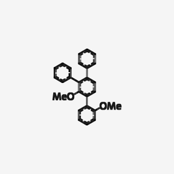 COc1ccccc1-c1ccc(-c2ccccc2)c(-c2ccccc2)c1OC